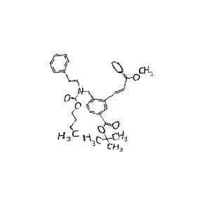 CCCCOC(=O)N(CCc1ccccc1)Cc1ccc(C(=O)OC(C)(C)C)cc1/C=C/C(=O)OC